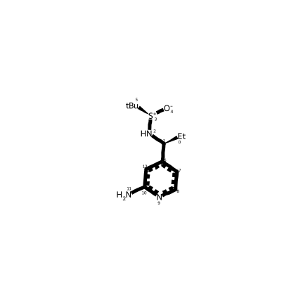 CC[C@H](N[S@+]([O-])C(C)(C)C)c1ccnc(N)c1